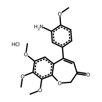 COc1ccc(C2=CC(=O)COc3c2cc(OC)c(OC)c3OC)cc1N.Cl